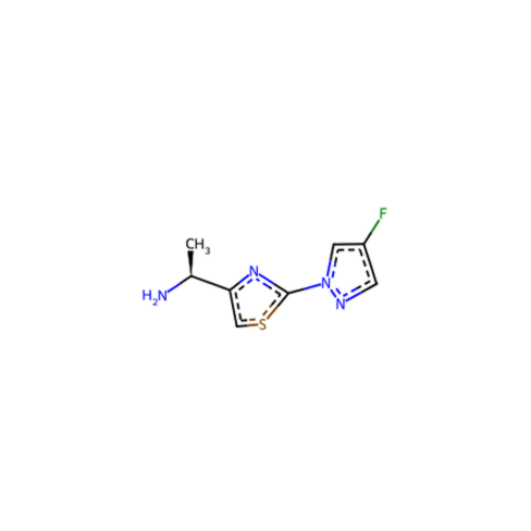 C[C@H](N)c1csc(-n2cc(F)cn2)n1